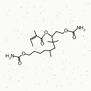 CC=C(C)C(=O)OC(CCOC(N)=O)C(C)(C)CC(C)CCCCOC(N)=O